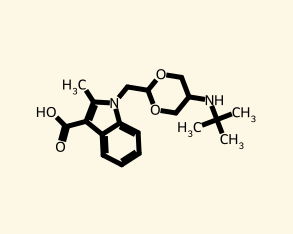 Cc1c(C(=O)O)c2ccccc2n1CC1OCC(NC(C)(C)C)CO1